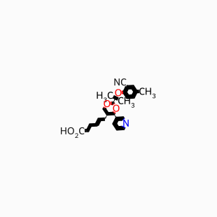 Cc1ccc(OC(C)(C)[C@H]2OC[C@@H](CC=CCCC(=O)O)[C@@H](c3cccnc3)O2)c(C#N)c1